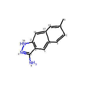 Cc1ccc2cc3c(N)n[nH]c3cc2c1